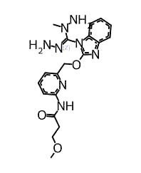 COCCC(=O)Nc1cccc(COc2nc3ccccc3n2/C(=N/N)N(C)N)n1